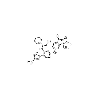 CCN1C(=O)c2ccc(Nc3cc(N[C@H](CO)c4ccccc4)c(-c4nc(C)no4)cn3)cc2C1(C)C